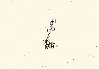 CCO/C=C/C(=O)OCCCCOC(=O)c1cn[nH]c1N